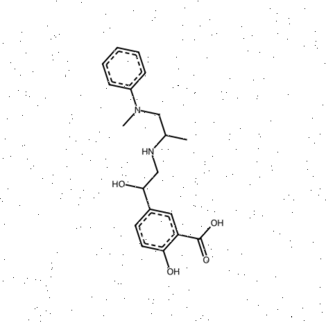 CC(CN(C)c1ccccc1)NCC(O)c1ccc(O)c(C(=O)O)c1